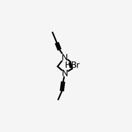 Br.CC#CN1C=CN(C#CC)C1